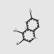 Oc1c(Br)cnc2ccc(Cl)cc12